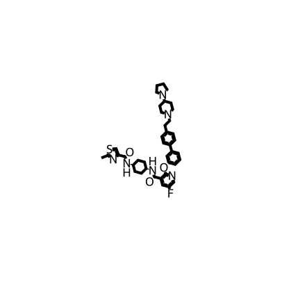 Cc1nc(C(=O)N[C@H]2CC[C@@H](NC(=O)c3cc(F)cnc3Oc3cccc(-c4ccc(CCN5CCC(N6CCCC6)CC5)cc4)c3)CC2)cs1